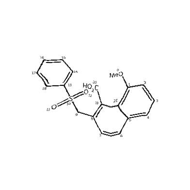 COc1cccc2ccc(CS(=O)(=O)c3ccccc3)c(C(=O)O)c12